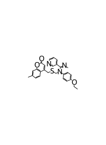 CCOc1ccc(N(CSCc2cc(=O)oc3cc(C)ccc23)/C(=N\C)c2cccnc2)cc1